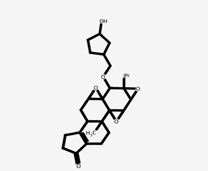 CC(C)C12OC1C1OC13C1(C)CCC4=C(CCC4=O)C1CC1OC13C2OCC1CCC(O)C1